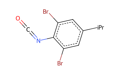 CC(C)c1cc(Br)c(N=C=O)c(Br)c1